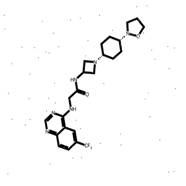 O=C(CNc1ncnc2ccc(C(F)(F)F)cc12)NC1CN([C@H]2CC[C@@H](N3CCCO3)CC2)C1